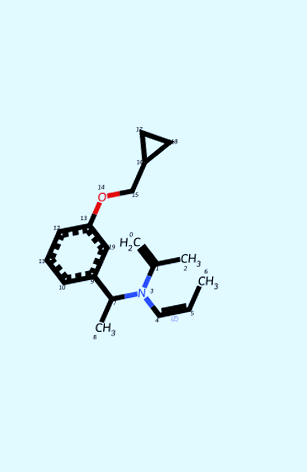 C=C(C)N(/C=C\C)C(C)c1cccc(OCC2CC2)c1